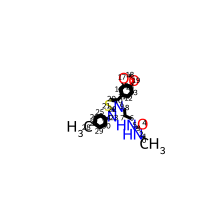 CCNC(=O)NCCCn1c(-c2ccc3c(c2)OCO3)cs/c1=N\c1ccc(C)cc1